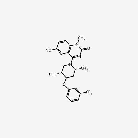 C[C@@H]1CN(c2nc(=O)n(C)c3ccc(C#N)nc23)[C@H](C)CC1Oc1cccc(C(F)(F)F)c1